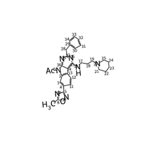 CC(=O)n1c2cc(-c3noc(C)n3)ccc2c2c(NCCCN3CCCCC3)nc(Cc3ccccc3)nc21